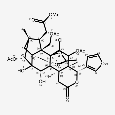 COC(=O)C[C@@H]1[C@@]2(C)C[C@]34OC5(C)O[C@@]6([C@H](O)C3(O)[C@@H]2OC(C)=O)[C@@H]2CC(=O)O[C@@H](c3ccoc3)[C@]2(C)C(OC(C)=O)C(O)[C@]6(O5)[C@@]14COC(C)=O